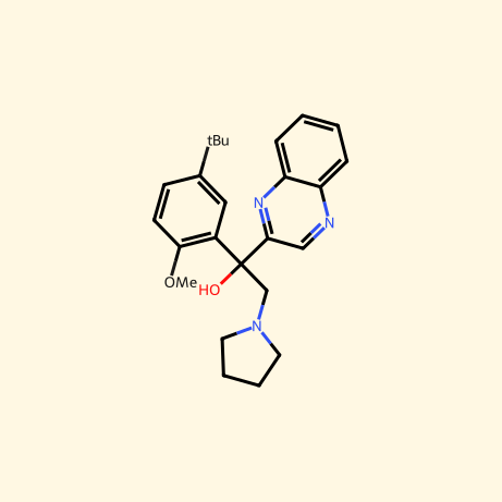 COc1ccc(C(C)(C)C)cc1C(O)(CN1CCCC1)c1cnc2ccccc2n1